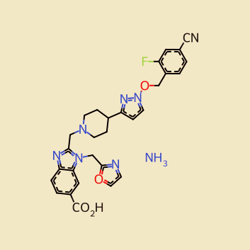 N.N#Cc1ccc(COn2ccc(C3CCN(Cc4nc5ccc(C(=O)O)cc5n4Cc4ncco4)CC3)n2)c(F)c1